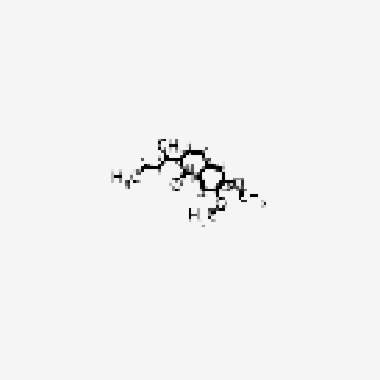 CCCC(C)C1C=Cc2cc(OC)c(OC)cc2C1=O